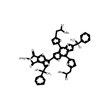 CCCCCCCN1C(=O)c2sc3c(-c4cc5c(-c6ccc(CC(CC)CCCC)s6)c6sc([C@](C)(CC)c7ccccc7)cc6c(-c6ccc(CC(CC)CCCC)s6)c5s4)sc(C(C)(CCC)c4ccccc4)c3c2C1=O